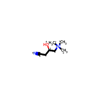 C[N+](C)(C)C[C@H](O)CC#N